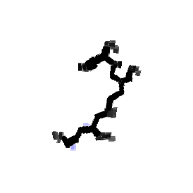 C#CC(=C)NCN(C=C)CCNC/C(C)=C/C=C\C